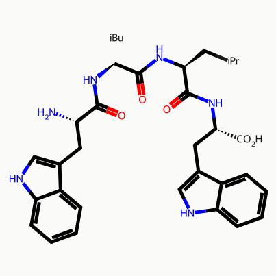 CC[C@H](C)[C@H](NC(=O)[C@@H](N)Cc1c[nH]c2ccccc12)C(=O)N[C@@H](CC(C)C)C(=O)N[C@@H](Cc1c[nH]c2ccccc12)C(=O)O